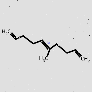 C=CCC/C=C(\C)CCC=C